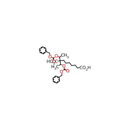 CC(OC(=O)OCc1ccccc1)C(CCCCCCC(=O)O)(C(=O)O)C(C)OC(=O)OCc1ccccc1